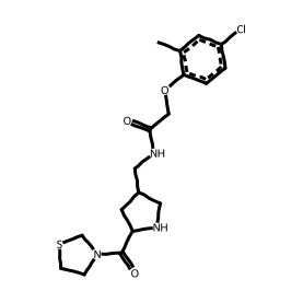 Cc1cc(Cl)ccc1OCC(=O)NCC1CNC(C(=O)N2CCSC2)C1